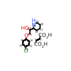 O=C(O)C=CC(=O)O.OC(COc1ccc(Cl)cc1)C1CCCCN1